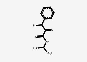 CC(NC(=O)C(=O)C(c1ccccc1)C(C)C)C(=O)O